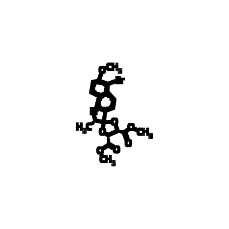 COC(=O)[C@@H]1OC(c2ccc3c(Br)c(OC)ccc3c2)([C@H](C)Br)O[C@H]1C(=O)OC